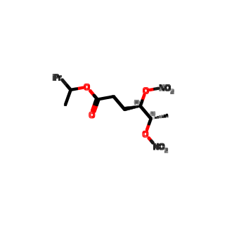 CC(C)C(C)OC(=O)CC[C@@H](O[N+](=O)[O-])[C@H](C)O[N+](=O)[O-]